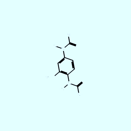 COc1cc(N(N)C(N)=O)ccc1N(N)C(N)=O